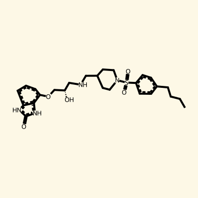 CCCCc1ccc(S(=O)(=O)N2CCC(CNC[C@H](O)COc3cccc4[nH]c(=O)[nH]c34)CC2)cc1